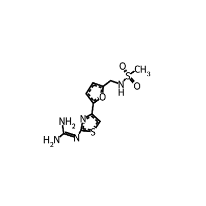 CS(=O)(=O)NCc1ccc(-c2csc(N=C(N)N)n2)o1